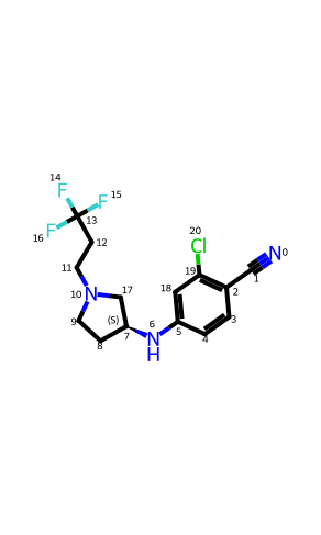 N#Cc1ccc(N[C@H]2CCN(CCC(F)(F)F)C2)cc1Cl